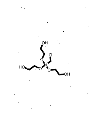 OCCO[N+](CCl)(OCCO)OCCO